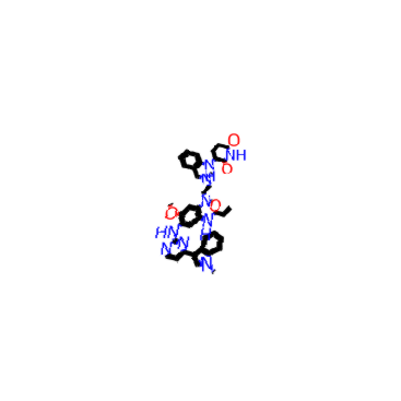 C=CC(=O)Nc1cc(Nc2nccc(-c3cn(C)c4ccccc34)n2)c(OC)cc1N(C)CCN(C)Cc1ccccc1NC1CCC(=O)NC1=O